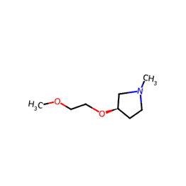 COCCO[C@@H]1CCN(C)C1